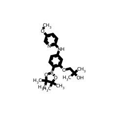 COc1ccc(Nc2ccc(B3OC(C)(C)C(C)(C)O3)c(OCC(C)(C)O)c2)nc1